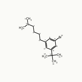 CN(C)CCCCc1cc(Br)cc(C(C)(C)C)c1